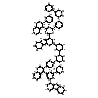 c1ccc(-c2nc(-c3c(-c4ccc(-c5cccc(-c6cccc(-c7cc(-c8nc(-c9ccccc9)nc(-c9c(-c%10cccc(-c%11ccccc%11-c%11ccccc%11)c%10)ccc%10ccccc9%10)n8)c8sc9ccccc9c8c7)c6)c5)cc4)ccc4ccccc34)nc(-c3cccc4c3sc3ccccc34)n2)cc1